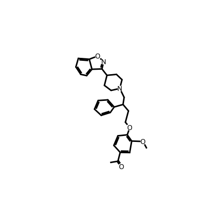 COc1cc(C(C)=O)ccc1OCCC(CN1CCC(c2noc3ccccc23)CC1)c1ccccc1